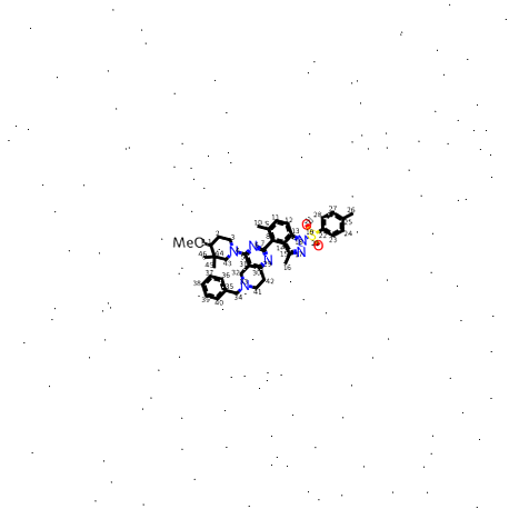 COC1CCN(c2nc(-c3c(C)ccc4c3c(C)nn4S(=O)(=O)c3ccc(C)cc3)nc3c2CN(Cc2ccccc2)CC3)CC1(C)C